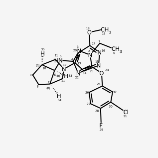 CCn1nc(N[C@H]2[C@@H]3CC[C@H]2CN(c2cnnc(OC)c2)C3)nc1Oc1ccc(F)c(Cl)c1